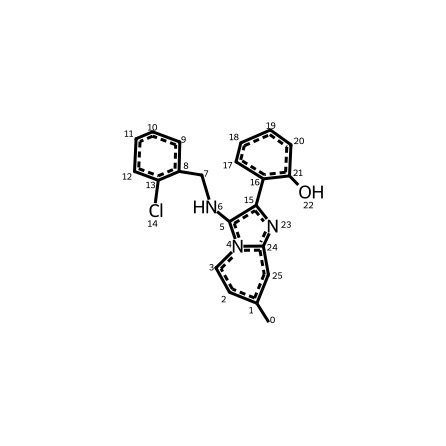 Cc1ccn2c(NCc3ccccc3Cl)c(-c3ccccc3O)nc2c1